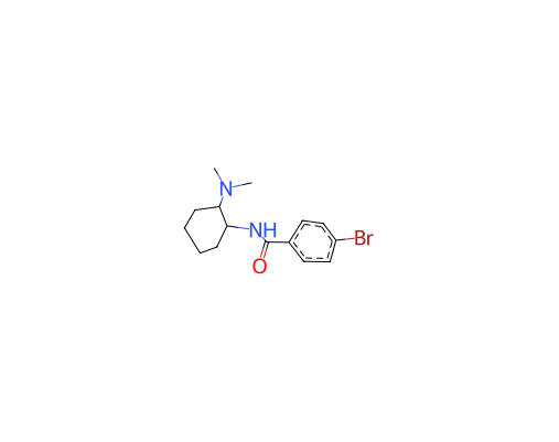 CN(C)C1CCCCC1NC(=O)c1ccc(Br)cc1